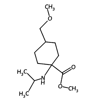 COCC1CCC(NC(C)C)(C(=O)OC)CC1